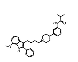 COc1cccc2c(CCCCN3CCC(c4cccc(NC(=O)C(C)C)c4)CC3)c(-c3ccccc3)[nH]c12